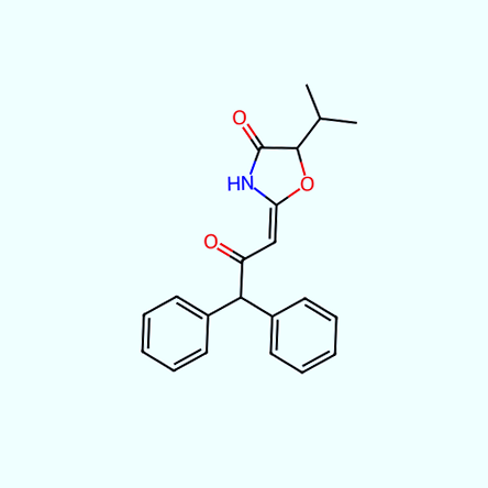 CC(C)C1O/C(=C/C(=O)C(c2ccccc2)c2ccccc2)NC1=O